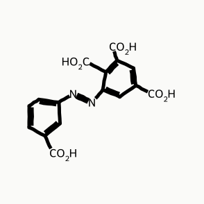 O=C(O)c1cccc(N=Nc2cc(C(=O)O)cc(C(=O)O)c2C(=O)O)c1